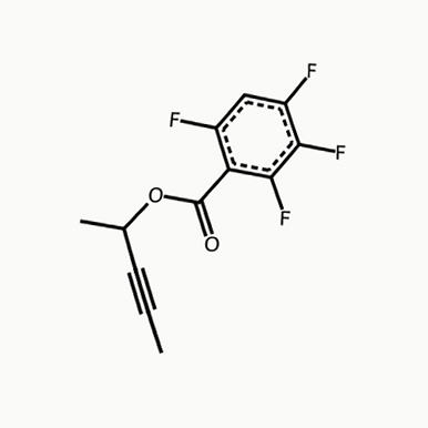 CC#CC(C)OC(=O)c1c(F)cc(F)c(F)c1F